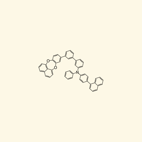 c1ccc(N(c2ccc(-c3cccc4ccccc34)cc2)c2cccc(-c3cccc(-c4ccc5c(c4)Oc4cccc6cccc(c46)O5)c3)c2)cc1